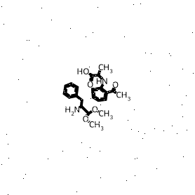 CC(=O)c1ccccc1NC(C)C(=O)O.COC(OC)C(N)Cc1ccccc1